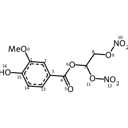 COc1cc(C(=O)OC(CO[N+](=O)[O-])O[N+](=O)[O-])ccc1O